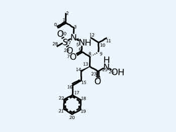 C=C(C)CN(NC(=O)[C@H](CC(C)C)[C@H](CC=Cc1ccccc1)C(=O)NO)S(C)(=O)=O